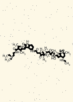 CCN[C@H]1C[C@H](C)S(=O)(=O)c2sc(S(=O)(=O)NC(C)(CC)C(=O)C(C)OC(C)(CC)C(=O)CCC(=O)Nc3ccc4c(c3)/C(=C/c3[nH]c(C)c(C(=O)NCCN(CC)CC)c3C)C(=O)N4)cc21